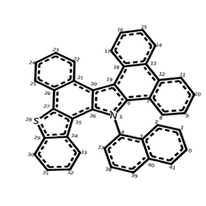 c1ccc2c(-n3c4c5ccccc5c5ccccc5c4c4c5ccccc5c5sc6ccccc6c5c43)cccc2c1